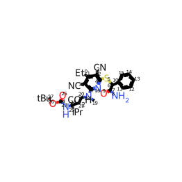 CCc1c(C#N)c(SC(C(N)=O)c2ccccc2)nc(N(C)CC[C@@](NC(=O)OC(C)(C)C)(C(=O)O)C(C)C)c1C#N